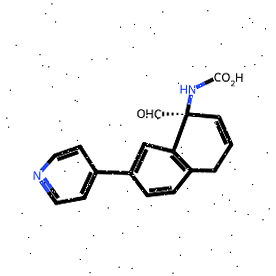 O=C[C@]1(NC(=O)O)C=CCc2ccc(-c3ccncc3)cc21